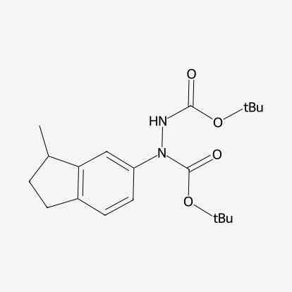 CC1CCc2ccc(N(NC(=O)OC(C)(C)C)C(=O)OC(C)(C)C)cc21